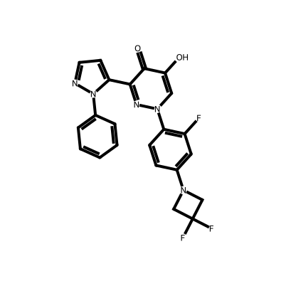 O=c1c(O)cn(-c2ccc(N3CC(F)(F)C3)cc2F)nc1-c1ccnn1-c1ccccc1